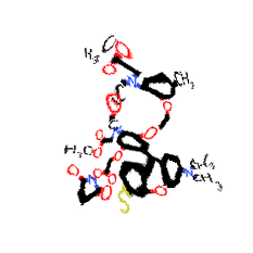 COC(=O)CN1CCOCCN(CC(=O)OC)c2cc(OCC(=O)ON3C(=O)CCC3=O)c(-c3c4ccc(=S)cc-4oc4cc(N(C)C)ccc34)cc2OCCOc2cc(C)ccc21